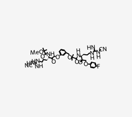 COC(C)(C)C(=O)N[C@@H](CCCNC(=N)NC#N)C(=O)COc1cccc(COC(C)(C)C(=O)N[C@@H](CCCNC(=N)NC#N)C(=O)COc2ccc(F)cc2)c1